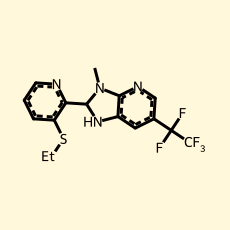 CCSc1cccnc1C1Nc2cc(C(F)(F)C(F)(F)F)cnc2N1C